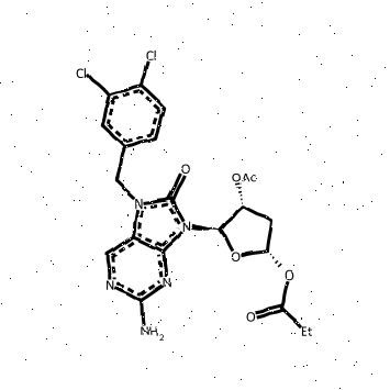 CCC(=O)O[C@H]1C[C@@H](OC(C)=O)[C@H](n2c(=O)n(Cc3ccc(Cl)c(Cl)c3)c3cnc(N)nc32)O1